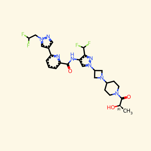 C[C@@H](O)C(=O)N1CCC(N2CC(n3cc(NC(=O)c4cccc(-c5cnn(CC(F)F)c5)n4)c(C(F)F)n3)C2)CC1